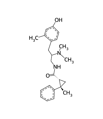 Cc1cc(O)ccc1CC(CNC(=O)[C@@H]1C[C@]1(C)c1ccccc1)N(C)C